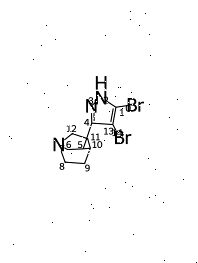 Brc1[nH]nc(C2CN3CCC2CC3)c1Br